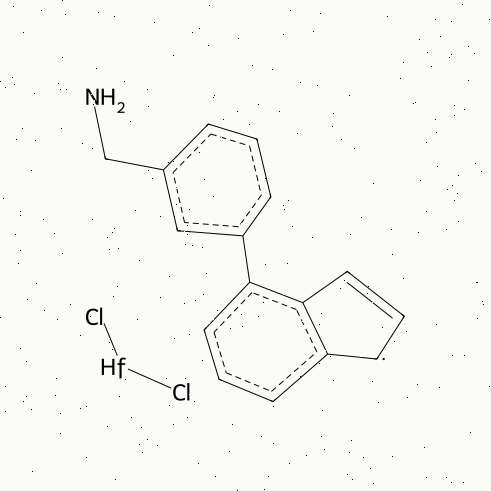 NCc1cccc(-c2cccc3c2C=C[CH]3)c1.[Cl][Hf][Cl]